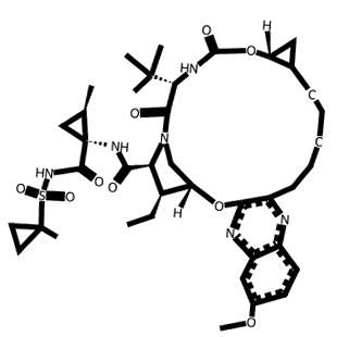 CC[C@@H]1[C@@H]2CN(C(=O)[C@H](C(C)(C)C)NC(=O)O[C@@H]3CC3CCCCCc3nc4ccc(OC)cc4nc3O2)[C@@H]1C(=O)N[C@]1(C(=O)NS(=O)(=O)C2(C)CC2)C[C@H]1C